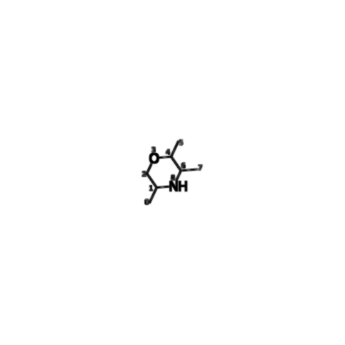 CC1COC(C)C(C)N1